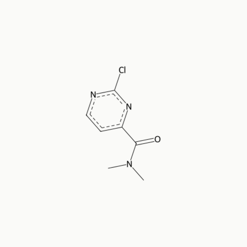 CN(C)C(=O)c1ccnc(Cl)n1